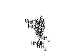 COC(=O)[C@]12C[C@@H](O)[C@H](O)C3[C@]4(CO1)[C@H]2[C@@H](OC(=O)C=C(C)C)C(=O)O[C@@H]4C[C@H]1C(C)=C(OC(=O)[C@@H](N)CCCNC(=N)N)C(=O)C[C@]31C